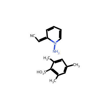 Cc1cc(C)c(S(=O)(=O)O)c(C)c1.N#CC=C1C=CC=CN1N